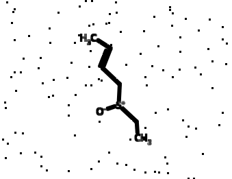 CC=CC[S+]([O-])CC